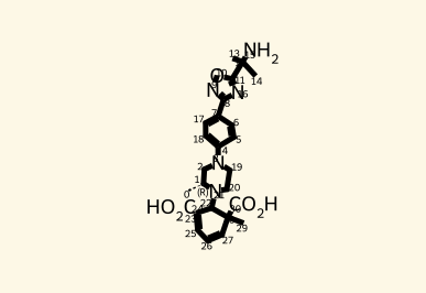 C[C@@H]1CN(c2ccc(-c3noc(C(C)(C)N)n3)cc2)CCN1C1C(C(=O)O)=CC=CC1(C)C(=O)O